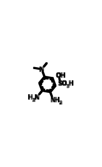 CN(C)c1ccc(N)c(N)c1.O=S(=O)(O)O